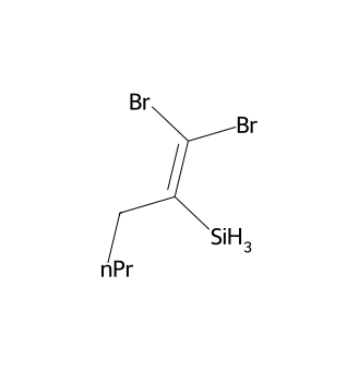 CCCCC([SiH3])=C(Br)Br